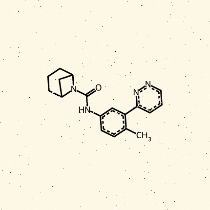 Cc1ccc(NC(=O)N2C3CCCC2C3)cc1-c1cccnn1